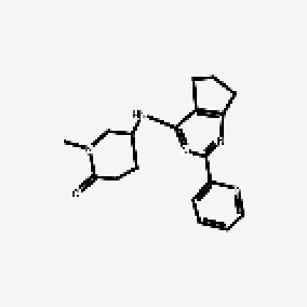 CN1CC(Nc2nc(-c3ccccn3)nc3c2CCC3)CCC1=O